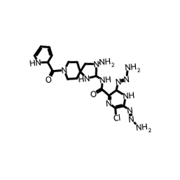 NN=NC1=C(Cl)N=C(C(=O)NC2NC3(CCN(C(=O)C4C=CC=CN4)CC3)CN2N)C(N=NN)N1